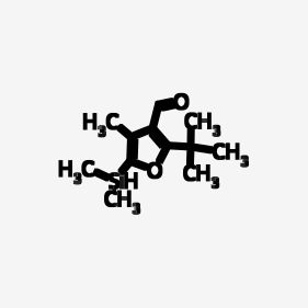 Cc1c([SiH](C)C)oc(C(C)(C)C)c1C=O